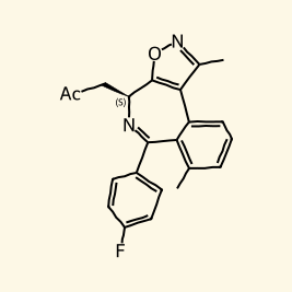 CC(=O)C[C@@H]1N=C(c2ccc(F)cc2)c2c(C)cccc2-c2c(C)noc21